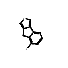 Brc1cccc2c1Cc1cocc1-2